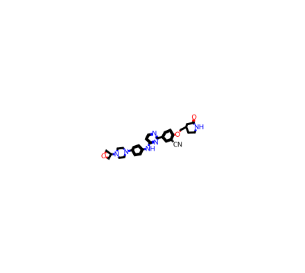 N#Cc1cc(-c2nccc(Nc3ccc(N4CCN(C5COC5)CC4)cc3)n2)ccc1OCC1CCNC(=O)C1